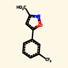 O=C(O)c1cc(-c2cccc(C(F)(F)F)c2)on1